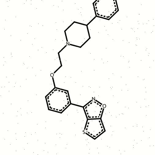 c1ccc(C2CCN(CCOc3cccc(-c4noc5ccsc45)c3)CC2)cc1